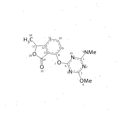 CNc1nc(OC)nc(Oc2cccc3c2C(=O)OC3C)n1